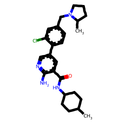 CC1CCC(NC(=O)c2cc(-c3ccc(CN4CCCC4C)cc3Cl)cnc2N)CC1